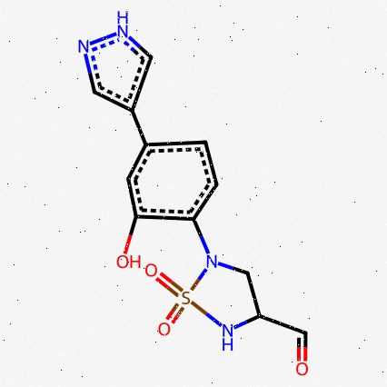 O=CC1CN(c2ccc(-c3cn[nH]c3)cc2O)S(=O)(=O)N1